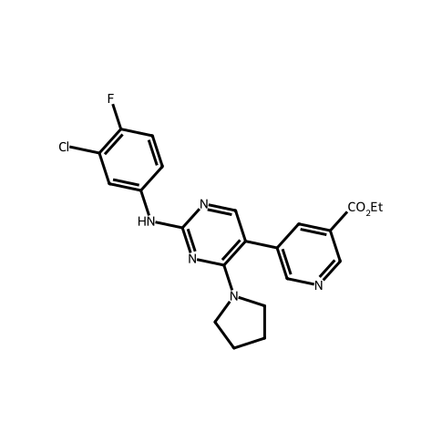 CCOC(=O)c1cncc(-c2cnc(Nc3ccc(F)c(Cl)c3)nc2N2CCCC2)c1